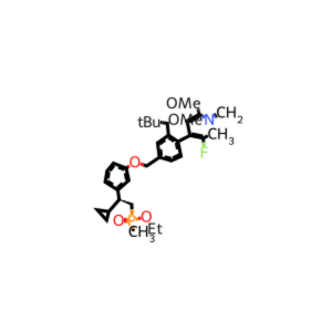 C=N/C(=C\C(=C(/C)F)c1ccc(COc2cccc([C@@H](CP(C)(=O)OCC)C3CC3)c2)cc1[C@@H](OC)C(C)(C)C)OC